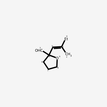 CCC(C)=CC1(C=O)CCCO1